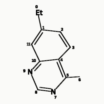 CCc1ccc2c(C)ncnc2c1